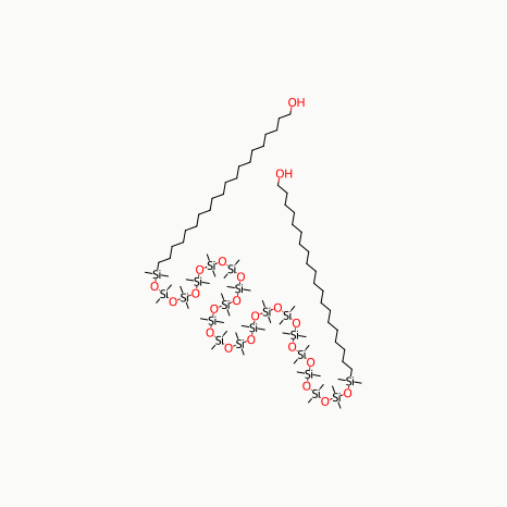 C[Si](C)(CCCCCCCCCCCCCCCCCCCCO)O[Si](C)(C)O[Si](C)(C)O[Si](C)(C)O[Si](C)(C)O[Si](C)(C)O[Si](C)(C)O[Si](C)(C)O[Si](C)(C)O[Si](C)(C)O[Si](C)(C)O[Si](C)(C)O[Si](C)(C)O[Si](C)(C)O[Si](C)(C)O[Si](C)(C)O[Si](C)(C)O[Si](C)(C)O[Si](C)(C)O[Si](C)(C)CCCCCCCCCCCCCCCCCCCCO